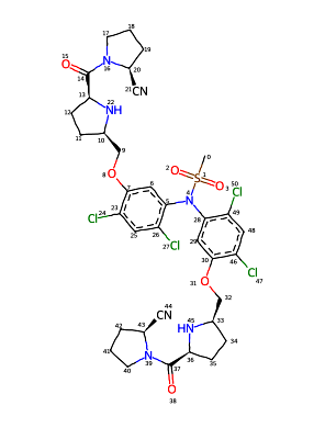 CS(=O)(=O)N(c1cc(OC[C@H]2CC[C@@H](C(=O)N3CCC[C@H]3C#N)N2)c(Cl)cc1Cl)c1cc(OC[C@H]2CC[C@@H](C(=O)N3CCC[C@H]3C#N)N2)c(Cl)cc1Cl